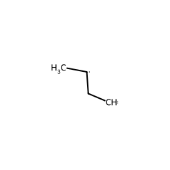 [CH]C[CH]C